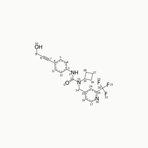 O=C(Nc1ccc(C#CCO)cc1)N(Cc1ccnc(C(F)(F)F)c1)C1CCC1